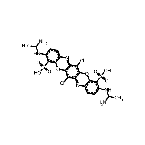 CC(N)Nc1ccc2c(c1S(=O)(=O)O)Oc1c(Cl)c3c(c(Cl)c1=N2)Oc1c(ccc(NC(C)N)c1S(=O)(=O)O)N=3